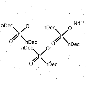 CCCCCCCCCCP(=O)([O-])CCCCCCCCCC.CCCCCCCCCCP(=O)([O-])CCCCCCCCCC.CCCCCCCCCCP(=O)([O-])CCCCCCCCCC.[Nd+3]